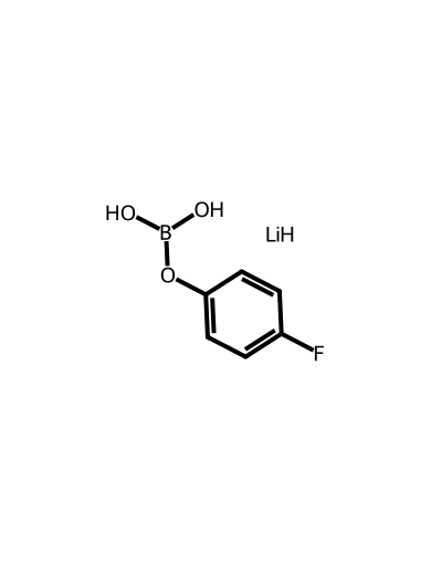 OB(O)Oc1ccc(F)cc1.[LiH]